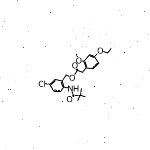 CCOc1ccc(CC(=O)OCc2cc(Cl)ccc2NC(=O)C(C)(C)C)c(OC)c1